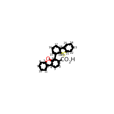 O=C(O)c1ccc2c(oc3ccccc32)c1-c1cccc2c1sc1ccccc12